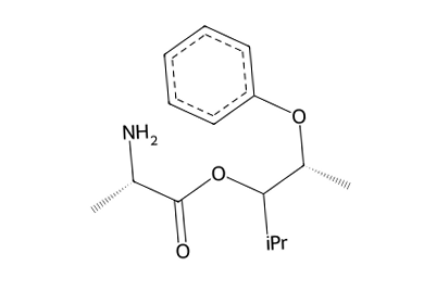 CC(C)C(OC(=O)[C@H](C)N)[C@@H](C)Oc1ccccc1